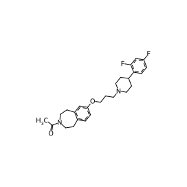 CC(=O)N1CCc2ccc(OCCCN3CCC(c4ccc(F)cc4F)CC3)cc2CC1